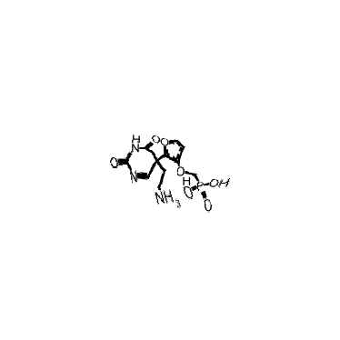 CCC1(c2occc2OCP(=O)(O)O)C=NC(=O)NC1=O.N